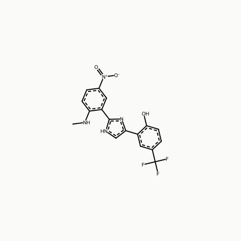 CNc1ccc([N+](=O)[O-])cc1-c1nc(-c2cc(C(F)(F)F)ccc2O)c[nH]1